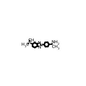 C[C@H](N)c1ccc(-n2nc3[c]c(N(C)C)ccc3n2)cc1